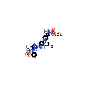 CC(C)(C)OC(=O)NC1CC2(CCN(c3ccc(Nc4ncc(Cl)c(Nc5ccccc5P(C)(C)=O)n4)cc3C(F)(F)F)CC2)C1